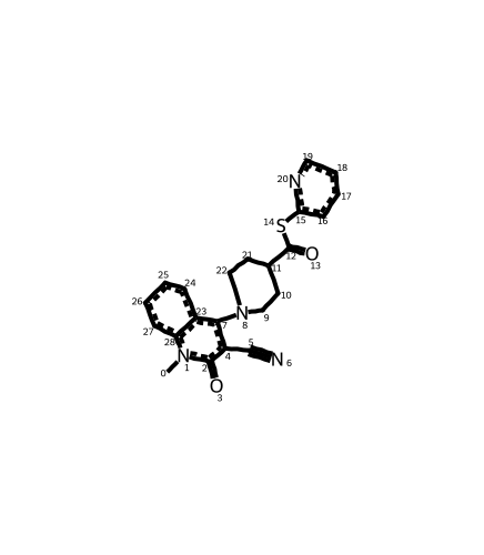 Cn1c(=O)c(C#N)c(N2CCC(C(=O)Sc3ccccn3)CC2)c2ccccc21